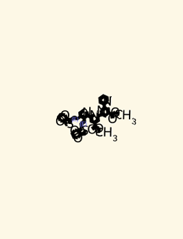 COC(=O)c1cc(-c2ccccn2)nc(-c2cc(C(=O)OC)cc(-c3nccc(/C=C/c4scc5c4OCCO5)c3/C=C/c3scc4c3OCCO4)n2)c1